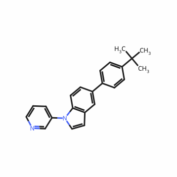 CC(C)(C)c1ccc(-c2ccc3c(ccn3-c3cccnc3)c2)cc1